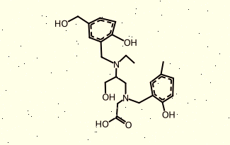 CCN(Cc1cc(CO)ccc1O)C(CO)CN(CC(=O)O)Cc1cc(C)ccc1O